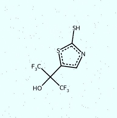 OC(c1cnc(S)s1)(C(F)(F)F)C(F)(F)F